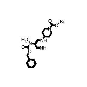 CN(C(=O)OCc1ccccc1)/C(C=N)=C/NC1CCN(C(=O)OC(C)(C)C)CC1